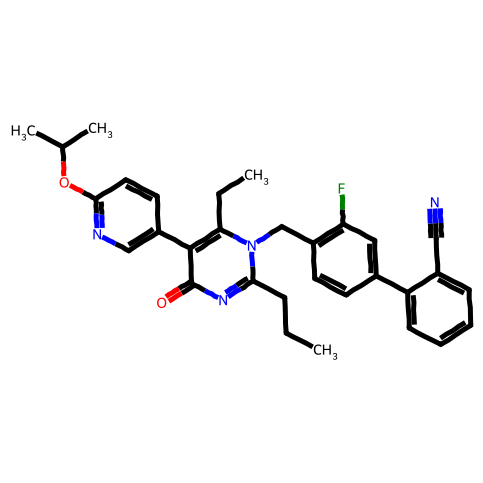 CCCc1nc(=O)c(-c2ccc(OC(C)C)nc2)c(CC)n1Cc1ccc(-c2ccccc2C#N)cc1F